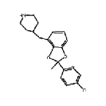 CC1(c2ccc(Cl)cn2)Oc2cccc(CC3CCNCC3)c2O1